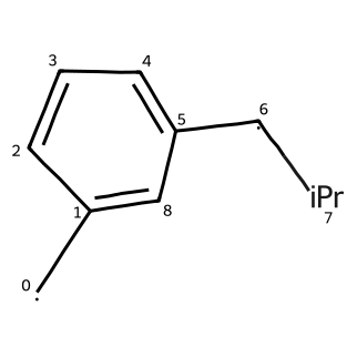 [CH2]c1cccc([CH]C(C)C)c1